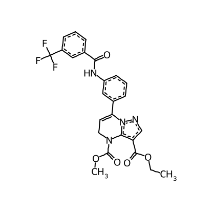 CCOC(=O)c1cnn2c1N(C(=O)OC)CC=C2c1cccc(NC(=O)c2cccc(C(F)(F)F)c2)c1